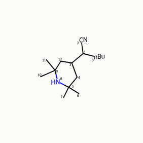 CCCCC(C#N)C1CC(C)(C)NC(C)(C)C1